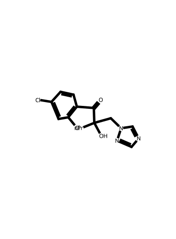 CCCC(O)(Cn1cncn1)C(=O)c1ccc(Cl)cc1Cl